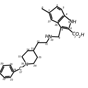 Cc1ccc2[nH]c(C(=O)O)c(CNCCC3CCN(Cc4ccccc4)CC3)c2c1